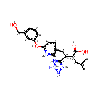 CC(C)C[C@H](C(=O)O)[C@H](Cc1ccc(Oc2cccc(CO)c2)nc1)c1nn[nH]n1